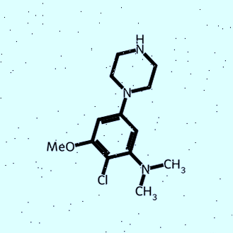 COc1cc(N2CCNCC2)cc(N(C)C)c1Cl